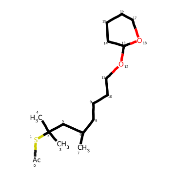 CC(=O)SC(C)(C)CC(C)CCCCOC1CCCCO1